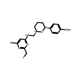 CSc1ccc([C@@H]2CCC[C@H](CNc3cc(Cl)nc(CF)n3)O2)cc1